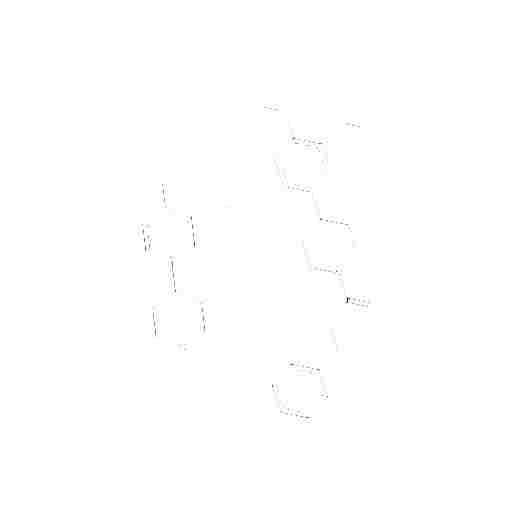 COc1cc(C2CCN(C(=O)OCc3ccccc3)CC2)ccc1[S+](C)[O-].COc1cc(C2CCNCC2)ccc1[S+](C)[O-]